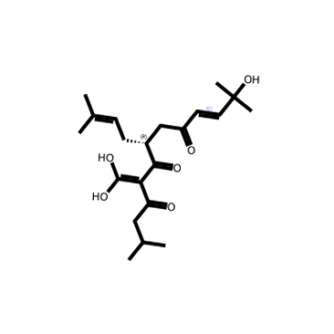 CC(C)=CC[C@H](CC(=O)/C=C/C(C)(C)O)C(=O)C(C(=O)CC(C)C)=C(O)O